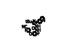 CC(C)(C)c1cc(NC(=O)Nc2cc(Oc3ccc(C#N)nc3)ccc2F)n(-c2ccc3ncccc3c2)n1